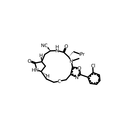 CC(C)C[C@H]1C(=O)N[C@H](C#N)C[C@@H]2C[C@@H](CCCCc3nc(-c4ccccc4Cl)oc3N1C)NC2=O